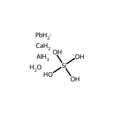 O.O[Si](O)(O)O.[AlH3].[CaH2].[PbH2]